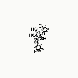 OCC1O[C@H](Oc2cccc(Cl)c2)[C@H](O)C(n2cc(-c3cc(F)c(F)c(F)c3)nn2)[C@H]1O